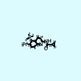 C=P(C)(C)c1c(C(C)C)ccc2nc(NC(=O)C3CC3)ccc12